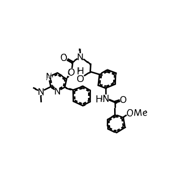 COc1ccccc1C(=O)Nc1cccc(C(O)CN(C)C(=O)Oc2cnc(N(C)C)nc2-c2ccccc2)c1